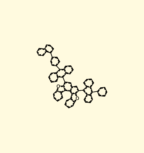 c1ccc(-c2c3ccccc3c(-c3cc4cc(-c5c6ccccc6c(-c6ccc(-c7cccc8ccccc78)cc6)c6ccccc56)c5oc6ccccc6c5c4c4c3oc3ccccc34)c3ccccc23)cc1